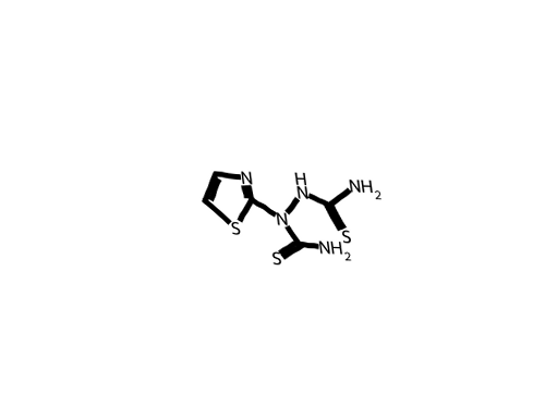 NC(=S)NN(C(N)=S)c1nccs1